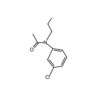 [CH2]CCN(C(C)=O)c1cccc(Cl)c1